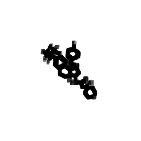 O=C(CC1(O)CCOCC1)N[C@@H]1CC[C@@]2(S(=O)(=O)c3ccc(F)cc3)c3ccc(C(F)(C(F)(F)F)C(F)(F)F)cc3CC[C@@H]12